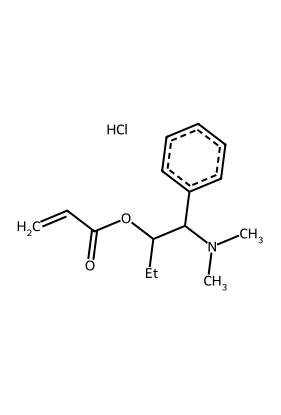 C=CC(=O)OC(CC)C(c1ccccc1)N(C)C.Cl